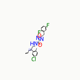 C=C/C=C(/CCNC(=O)c1noc(Cc2cc(F)ccc2F)n1)c1cc(Cl)ccc1C